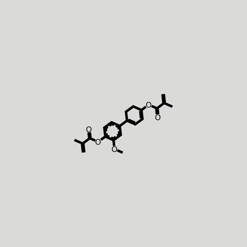 C=C(C)C(=O)OC1=CC=C(c2ccc(OC(=O)C(=C)C)c(OC)c2)CC1